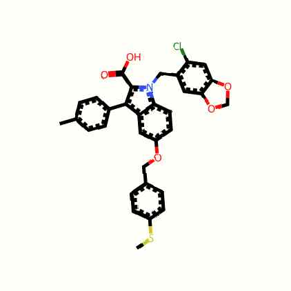 CSc1ccc(COc2ccc3c(c2)c(-c2ccc(C)cc2)c(C(=O)O)n3Cc2cc3c(cc2Cl)OCO3)cc1